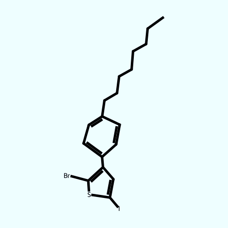 CCCCCCCCc1ccc(-c2cc(I)sc2Br)cc1